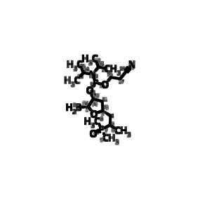 B[C@@H]1O[C@H](CC(C)P(C)(C)=O)C[C@@H]1OP(OCCC#N)N(C(C)C)C(C)C